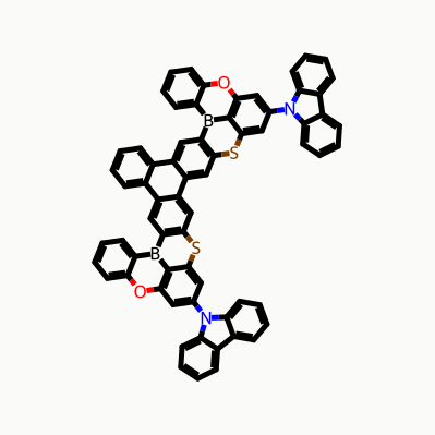 c1ccc2c(c1)Oc1cc(-n3c4ccccc4c4ccccc43)cc3c1B2c1cc2c4ccccc4c4cc5c(cc4c2cc1S3)Sc1cc(-n2c3ccccc3c3ccccc32)cc2c1B5c1ccccc1O2